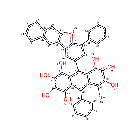 Oc1c(O)c(O)c2c(-c3cc(-c4ccccc4)c4oc5cc6ccccc6cc5c4c3)c3c(O)c(O)c(O)c(O)c3c(-c3ccccc3)c2c1O